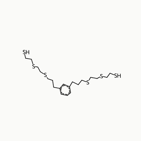 SCCSCCSCCCc1cccc(CCCSCCSCCS)c1